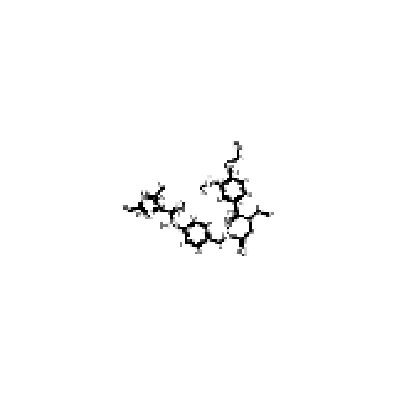 CCC1CC(=O)N(Cc2ccc(NC(=O)c3sc(C)nc3C)cc2)N=C1c1ccc(OCF)c(OC)c1